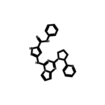 O=C(Nc1ccccc1)c1cc(Nc2nc(N3CCCC3c3ccccn3)nc3cccn23)n[nH]1